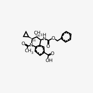 CC(=O)N1c2ccc(C(=O)O)cc2C(NC(=O)OCc2ccccc2)[C@@H](C)[C@@H]1C1CC1